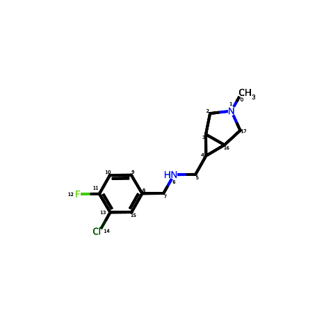 CN1CC2C(CNCc3ccc(F)c(Cl)c3)C2C1